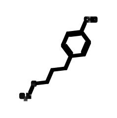 O=Cc1ccc(CCCO[N+](=O)[O-])cc1